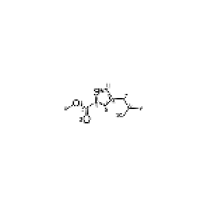 COC(=O)c1cc(CC(C)C)cs1